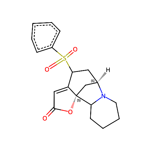 O=C1C=C2C(S(=O)(=O)c3ccccc3)C[C@@H]3C[C@@]2(O1)C1CCCCN13